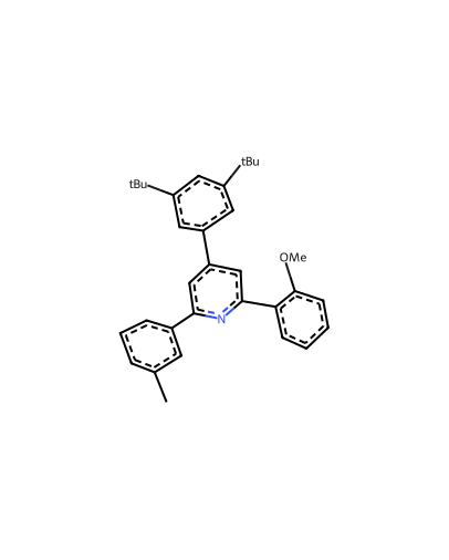 COc1ccccc1-c1cc(-c2cc(C(C)(C)C)cc(C(C)(C)C)c2)cc(-c2cccc(C)c2)n1